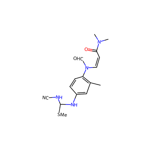 CSC(NC#N)Nc1ccc(N(C=O)/C=C\C(=O)N(C)C)c(C)c1